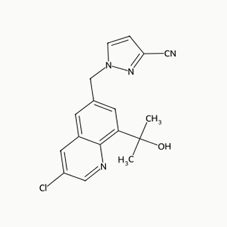 CC(C)(O)c1cc(Cn2ccc(C#N)n2)cc2cc(Cl)cnc12